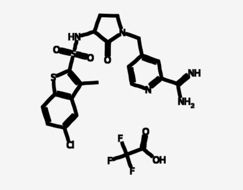 Cc1c(S(=O)(=O)NC2CCN(Cc3ccnc(C(=N)N)c3)C2=O)sc2ccc(Cl)cc12.O=C(O)C(F)(F)F